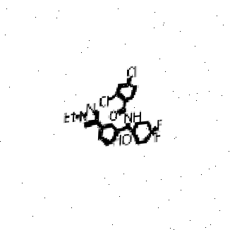 CCn1cc(-c2cccc(C(NC(=O)c3ccc(Cl)cc3Cl)C3(O)CCC(F)(F)CC3)c2)cn1